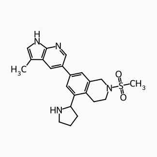 Cc1c[nH]c2ncc(-c3cc4c(c(C5CCCN5)c3)CCN(S(C)(=O)=O)C4)cc12